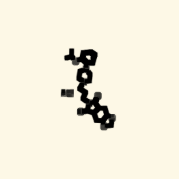 CC(C)Oc1ccccc1N1CCN(CCCN2C(=O)C3CC4OCOC4CC3C2=O)CC1.Cl